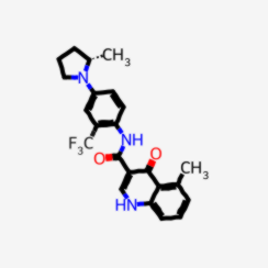 Cc1cccc2[nH]cc(C(=O)Nc3ccc(N4CCC[C@@H]4C)cc3C(F)(F)F)c(=O)c12